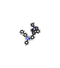 c1ccc(-c2ccc(-c3nc(-c4ccccc4)nc(-c4cccc(-c5ccc6c(c5)-c5ccccc5C65c6ccccc6N(c6ccccc6)c6ccccc65)c4)n3)cc2)cc1